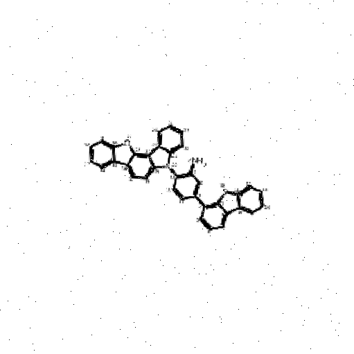 Nc1cc(-c2cccc3c2sc2ccccc23)ccc1-n1c2ccccc2c2c3oc4ccccc4c3ccc21